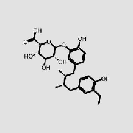 CCc1cc(C[C@@H](C)[C@@H](C)Cc2ccc(O)c(O[C@@H]3O[C@H](C(=O)O)[C@@H](O)[C@H](O)[C@H]3O)c2)ccc1O